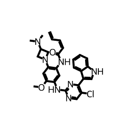 C=C/C=C\C(=O)Nc1cc(Nc2ncc(Cl)c(-c3c[nH]c4ccccc34)n2)c(OC)cc1N1CC(N(C)C)C1